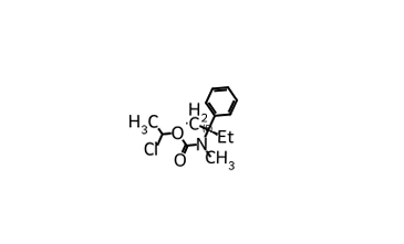 [CH2][C@](CC)(c1ccccc1)N(C)C(=O)OC(C)Cl